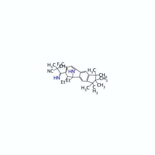 CCC1C(C(=N)C(C)(C)C#N)=C(C(F)(F)F)C=C2NC1(CC)c1cc3c(cc12)C(C)(C)C(C)(C)C3(C)C